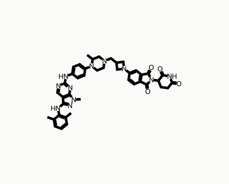 Cc1cccc(C)c1Nc1nn(C)c2nc(Nc3ccc(N4CCN(CC5CN(c6ccc7c(c6)C(=O)N(C6CCC(=O)NC6=O)C7=O)C5)CC4C)cc3)ncc12